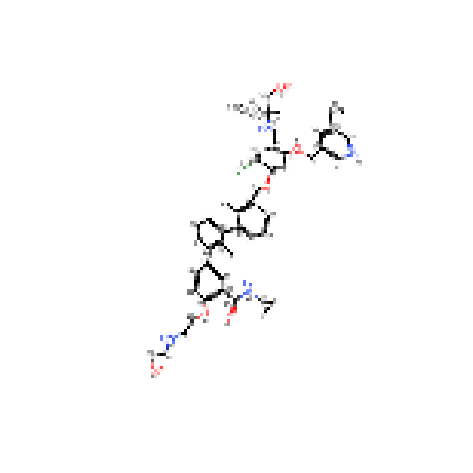 Cc1c(COc2cc(OCc3cncc(C#N)c3)c(CNC(C)(CO)C(=O)O)cc2Cl)cccc1-c1cccc(-c2ccc(OCCNCCO)c(C(=O)NC3CC3)c2)c1C